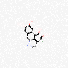 COc1cc2c(cc1O)CC1c3c(c(Cl)c(O)c(OC)c3-2)CCN1C